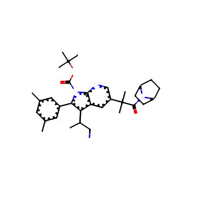 Cc1cc(C)cc(-c2c(C(C)CN)c3cc(C(C)(C)C(=O)N4C5CCC4CC5)cnc3n2C(=O)OC(C)(C)C)c1